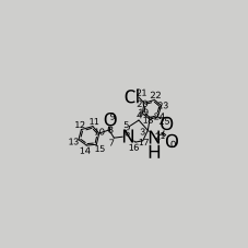 O=C1NC2(CCN(CC(=O)c3ccccc3)CC2)c2cc(Cl)ccc2O1